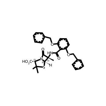 CC1(C)S[C@H]2N(C(=O)[C@]2(C)NC(=O)c2c(OCc3ccccc3)cccc2OCc2ccccc2)[C@H]1C(=O)O